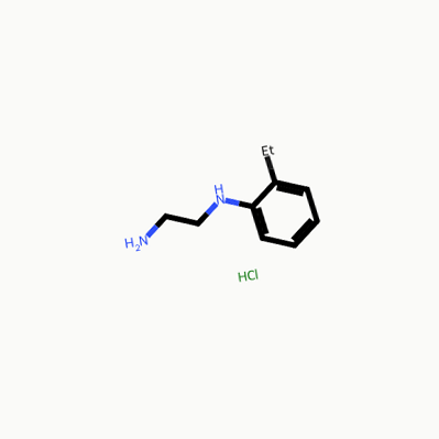 CCc1ccccc1NCCN.Cl